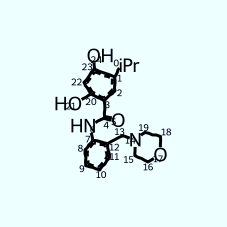 CC(C)c1cc(C(=O)Nc2ccccc2CN2CCOCC2)c(O)cc1O